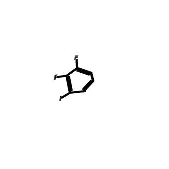 Fc1cc[c]c(I)c1F